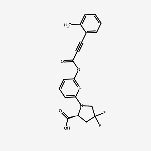 Cc1ccccc1C#CC(=O)Oc1cccc(N2CC(F)(F)C[C@H]2C(=O)O)n1